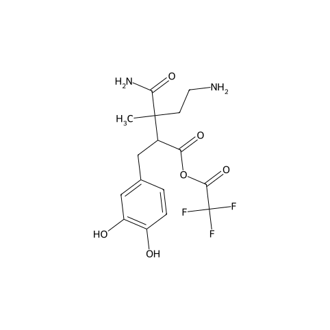 CC(CCN)(C(N)=O)C(Cc1ccc(O)c(O)c1)C(=O)OC(=O)C(F)(F)F